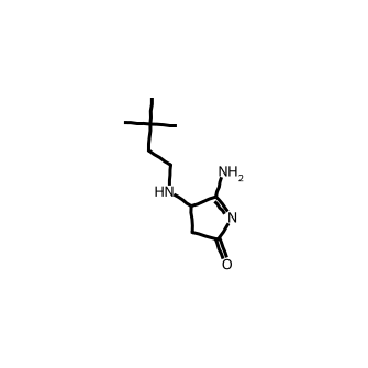 CC(C)(C)CCNC1CC(=O)N=C1N